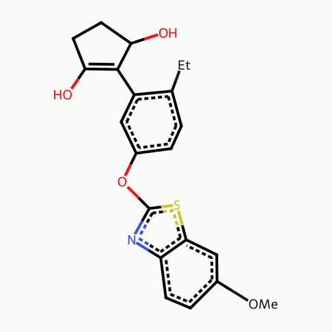 CCc1ccc(Oc2nc3ccc(OC)cc3s2)cc1C1=C(O)CCC1O